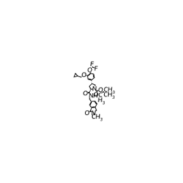 CN1Cc2ccc(CNC(=O)[C@H]3C[C@H](c4ccc(OC(F)F)c(OCC5CC5)c4)CN3C(=O)OC(C)(C)C)cc2C1=O